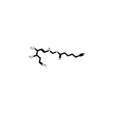 C=CCC(C)C(C)/C=C/NCOC(=O)CCCCC#N